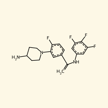 C=C(Nc1cc(F)c(F)c(F)c1)c1ccc(F)c(N2CCC(N)CC2)c1